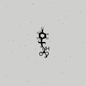 COC(=O)NCC(C)(C)c1ccc(C)cc1